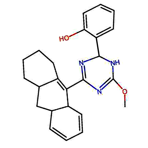 COC1=NC(C2=C3CCCCC3CC3C=CC=CC23)=NC(c2ccccc2O)N1